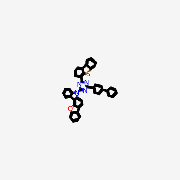 c1ccc(-c2ccc(-c3nc(-c4cccc5c4sc4ccccc45)nc(-n4c5ccccc5c5c6oc7ccccc7c6ccc54)n3)cc2)cc1